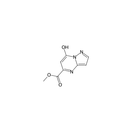 COC(=O)c1cc(O)n2nccc2n1